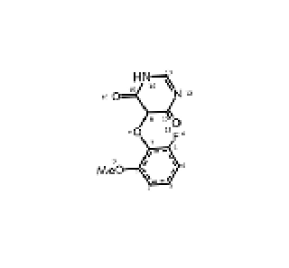 COc1cccc(F)c1OC1C(=O)N=CNC1=O